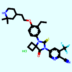 CCc1cc(N2C(=S)N(c3cnc(C#N)c(C(F)(F)F)c3)C(=O)C23CCC3)ccc1OCCC1CCNC(C)(C)C1.Cl